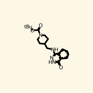 CC(C)(C)OC(=O)N1CCC(CNc2n[nH]c(=O)c3ccccc23)CC1